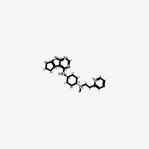 CN(CCc1ccccn1)[C@H]1CC[C@H](Nc2ncnc3sc4c(c23)CCC4)CC1